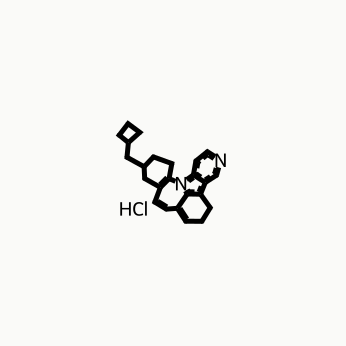 C1=CC2=C(CCC(CC3CCC3)C2)n2c3c(c4cnccc42)CCC=C13.Cl